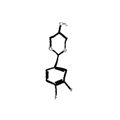 CC1COC(c2ccc(F)c(F)c2)OC1